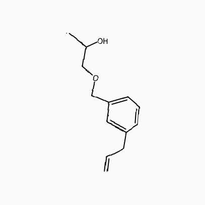 [CH2]C(O)COCc1cccc(CC=C)c1